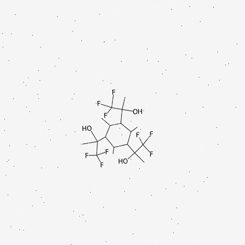 CC1C(C(C)(O)C(F)(F)F)C(C)C(C(C)(O)C(F)(F)F)C(C)C1C(C)(O)C(F)(F)F